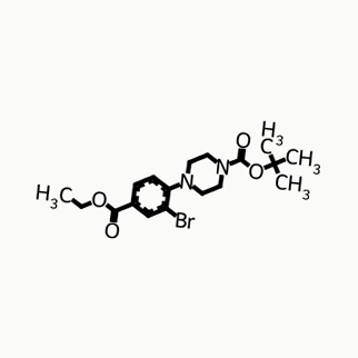 CCOC(=O)c1ccc(N2CCN(C(=O)OC(C)(C)C)CC2)c(Br)c1